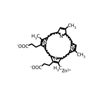 CC1=Cc2cc3[nH]c(cc4nc(cc5[nH]c(cc1n2)cc5C)C(C)=C4CCC(=O)[O-])c(CCC(=O)[O-])c3C.[Zn+2]